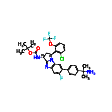 CC(C)(C)OC(=O)N[C@@H]1C[C@@H](c2c(Cl)cccc2OC(F)(F)F)n2c1nc1cc(F)c(-c3ccc(C(C)(C)N)cc3)cc12